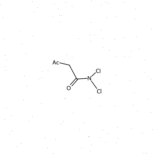 CC(=O)CC(=O)N(Cl)Cl